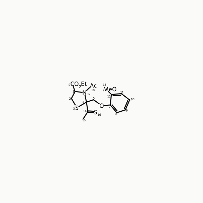 CCOC(=O)C1CSC(COc2ccccc2OC)(C(C)=S)N1C(C)=O